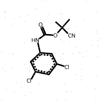 CC(C)(C#N)OC(=O)Nc1cc(Cl)cc(Cl)c1